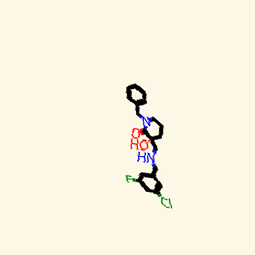 O=C1N(Cc2ccccc2)CCC[C@@]1(O)CNCc1cc(F)cc(Cl)c1